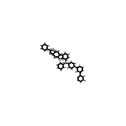 c1ccc(-c2cccc(-c3ccc(N(c4ccccc4)c4cccc5c4oc4cc6nc(-c7ccccc7)oc6cc45)cc3)c2)cc1